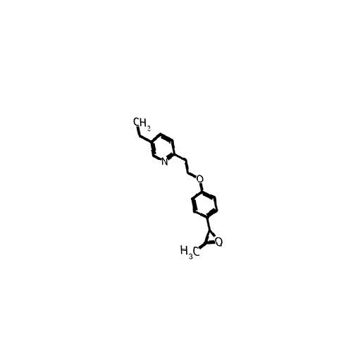 CCc1ccc(CCOc2ccc(C3OC3C)cc2)nc1